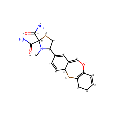 CN1C(C2=CC3=COC4=C(CCC=C4)SC3C=C2)CSC1(C(N)=O)C(N)=O